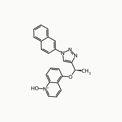 C[C@@H](Oc1cccc2c1ccc[n+]2O)c1cn(-c2ccc3ccccc3c2)nn1